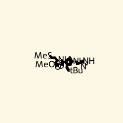 COC(=O)C(CCSC)NC(=O)c1ccc(NCc2c[nH]cn2)cc1/C=C\C(C)(C)C